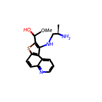 COC(O)c1sc2ccc3ncccc3c2c1NC[C@@H](C)N